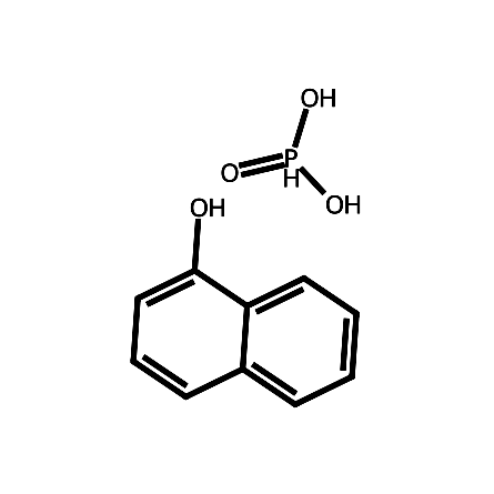 O=[PH](O)O.Oc1cccc2ccccc12